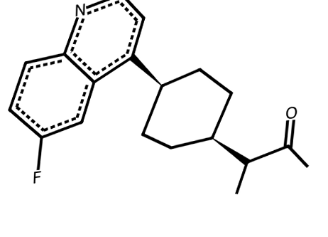 CC(=O)C(C)[C@H]1CC[C@@H](c2ccnc3ccc(F)cc32)CC1